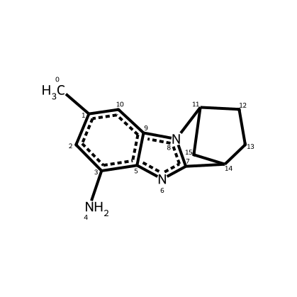 Cc1cc(N)c2nc3n(c2c1)C1CCC3C1